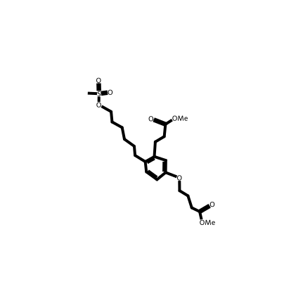 COC(=O)CCCOc1ccc(CCCCCCOS(C)(=O)=O)c(CCC(=O)OC)c1